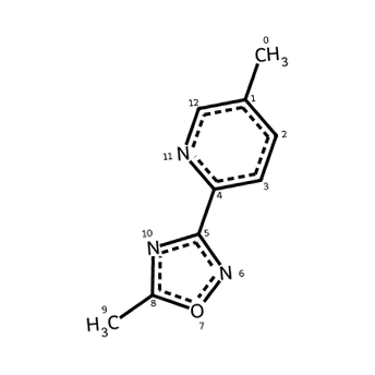 Cc1ccc(-c2noc(C)n2)nc1